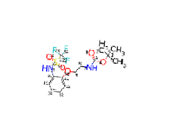 CC(C)(C)OC(=O)NCCOc1ccccc1NS(=O)(=O)C(F)(F)F